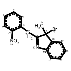 CC1(Br)C([SH2]c2ccccc2[N+](=O)[O-])=Nc2ccccc21